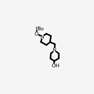 CC(C)(C)ON1CCC(CN2CCC(O)CC2)CC1